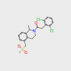 CC1c2cccc(CS(C)(=O)=O)c2CCN1C(=O)Cc1c(Cl)cccc1Cl